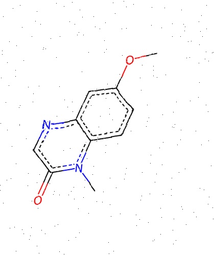 COc1ccc2c(c1)ncc(=O)n2C